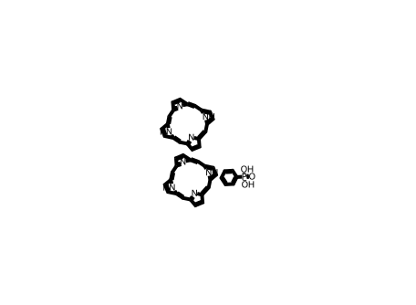 C1=Cc2cc3ccc(cc4nc(cc5ccc(cc1n2)[nH]5)C=C4)[nH]3.C1=Cc2cc3ccc(cc4nc(cc5ccc(cc1n2)[nH]5)C=C4)[nH]3.O=P(O)(O)c1ccccc1